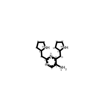 Nc1cnc(CC2CCCN2)nc1CC1CCCN1